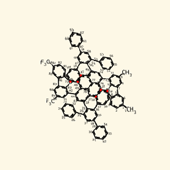 Cc1ccc2c(c1)-c1cc(C)cc3c1B2c1cc2c(-c4c(-c5ccccc5)cc(-c5ccccc5)cc4-c4ccccc4)cc4c5c(cc6c(-c7c(-c8ccccc8)cc(-c8ccccc8)cc7-c7ccccc7)cc-3c1c6c25)B1c2ccc(C(F)(F)F)cc2-c2cc(C(F)(F)F)cc-4c21